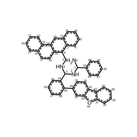 NC(NC(NCc1c2ccccc2cc2c1ccc1ccccc12)c1ccccc1-c1ccc2c(c1)oc1ccccc12)c1ccccc1